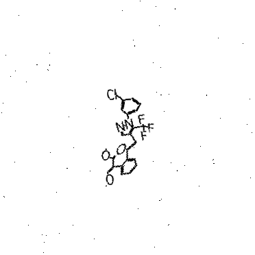 CO/C=C(/C(=O)OC)c1ccccc1/C=C/c1cnn(-c2cccc(Cl)c2)c1C(F)(F)F